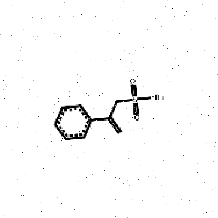 C=C(CS(=O)(=O)CCCC)c1ccccc1